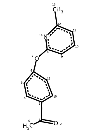 CC(=O)c1ccc(Oc2cccc(C)n2)cc1